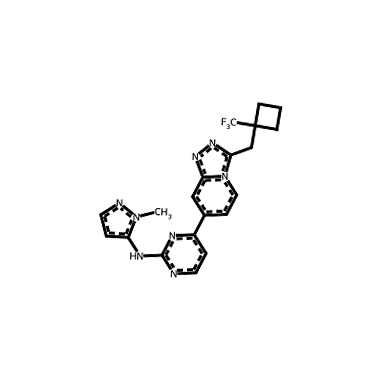 Cn1nccc1Nc1nccc(-c2ccn3c(CC4(C(F)(F)F)CCC4)nnc3c2)n1